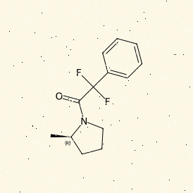 C[C@@H]1CCCN1C(=O)C(F)(F)c1ccccc1